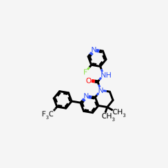 CC1(C)CCN(C(=O)Nc2ccncc2F)c2nc(-c3cccc(C(F)(F)F)c3)ccc21